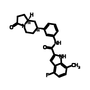 Cc1ccc(F)c2cc(C(=O)Nc3cccc([C@H]4CCN5C(=O)CC[C@H]5C4)c3)[nH]c12